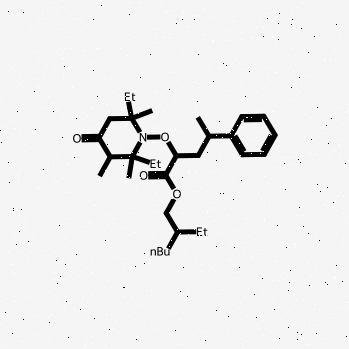 CCCCC(CC)COC(=O)C(CC(C)c1ccccc1)ON1C(C)(CC)CC(=O)C(C)C1(C)CC